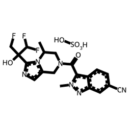 CC1CN(C(=O)c2c3ccc(C#N)cc3nn2C)Cc2cnc(C(O)(CF)C(F)F)n21.O=S(=O)(O)O